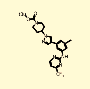 Cc1cc(Nc2nccc(C(F)(F)F)n2)cc(-c2cnn(C3CCN(C(=O)OC(C)(C)C)CC3)c2)c1